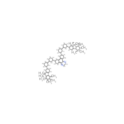 Cc1c(C)c(C)c2c(c1C)-c1ccc(-c3cccc(-c4cccc(-c5ccc6c(c5)c5cc(-c7cccc(-c8cccc(-c9ccc%10c(c9)C(C)(C)c9c(C)c(C)c(C)c(C)c9-%10)c8)c7)ccc5c5nccnc65)c4)c3)cc1C2(C)C